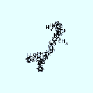 CCc1c2c(nc3ccc(OC(=O)N4CCN(Cc5ccc6c(c5)CN(C(=O)c5cc(C(C)C)c(OCc7ccccc7)cc5OCc5ccccc5)C6)CC4)cc13)-c1cc3c(c(=O)n1C2)COC(=O)C3(O)CC